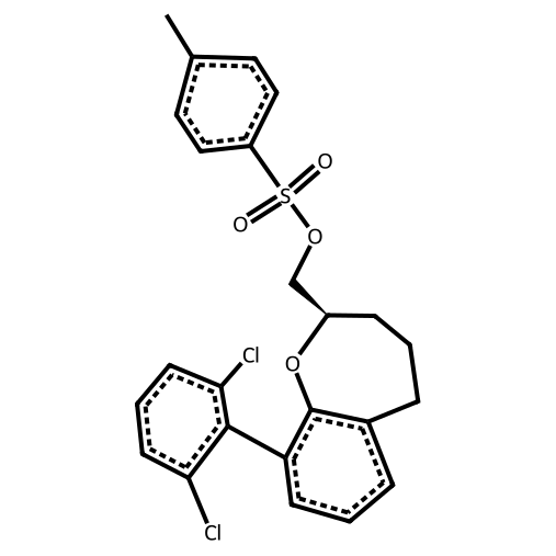 Cc1ccc(S(=O)(=O)OC[C@H]2CCCc3cccc(-c4c(Cl)cccc4Cl)c3O2)cc1